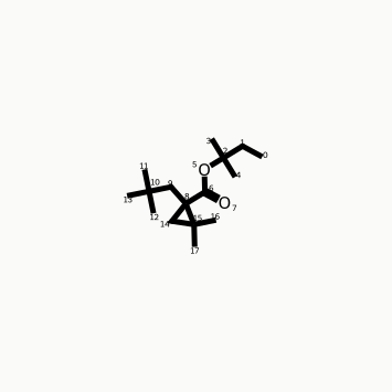 CCC(C)(C)OC(=O)C1(CC(C)(C)C)CC1(C)C